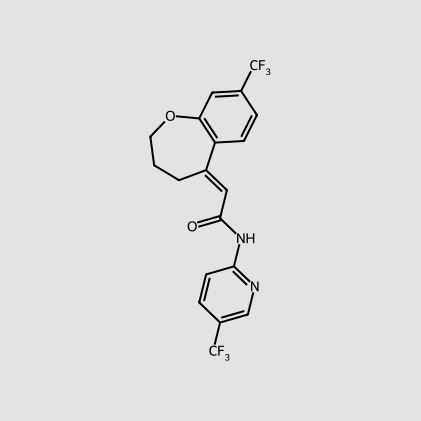 O=C(/C=C1\CCCOc2cc(C(F)(F)F)ccc21)Nc1ccc(C(F)(F)F)cn1